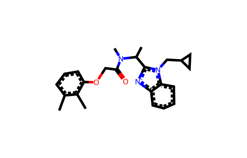 Cc1cccc(OCC(=O)N(C)C(C)c2nc3ccccc3n2CC2CC2)c1C